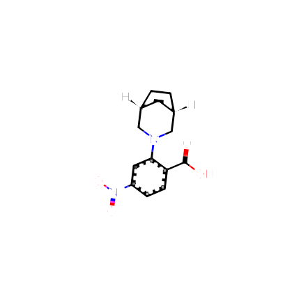 O=C(O)c1ccc([N+](=O)[O-])cc1N1C[C@H]2CC[C@@H](C1)C21CC1